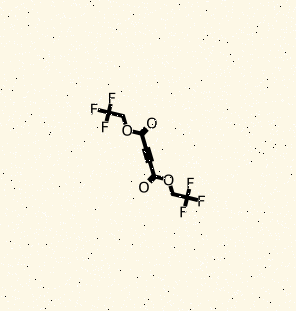 O=C(C#CC(=O)OCC(F)(F)F)OCC(F)(F)F